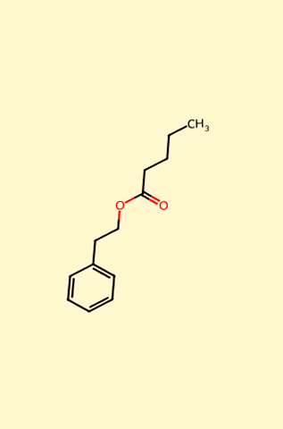 CCCCC(=O)OCCc1ccccc1